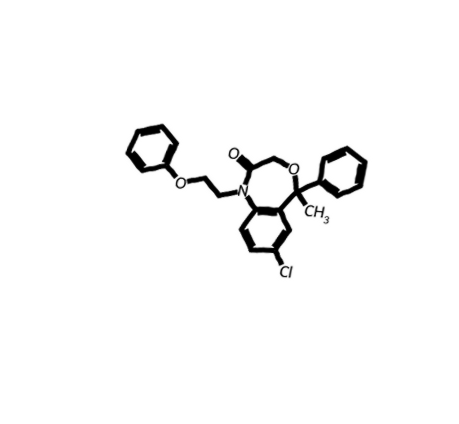 CC1(c2ccccc2)OCC(=O)N(CCOc2ccccc2)c2ccc(Cl)cc21